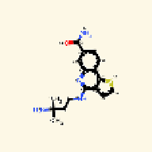 CC(C)(N)CCNc1nc2cc(C(N)=O)ccc2c2sccc12